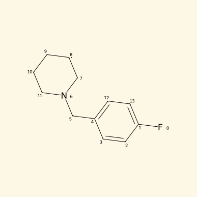 Fc1ccc(CN2C[CH]CCC2)cc1